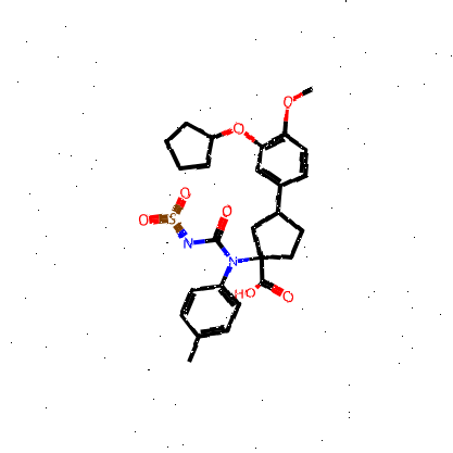 COc1ccc(C2CCC(C(=O)O)(N(C(=O)N=S(=O)=O)c3ccc(C)cc3)C2)cc1OC1CCCC1